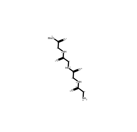 COC(=O)CNC(=O)CNC(=O)CNC(=O)CN